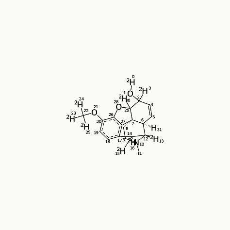 [2H]OC1([2H])C=C[C@@H]2[C@@]34CCN(C)[C@]2([2H])C([2H])([2H])c2ccc(OC([2H])([2H])[2H])c(c23)OC14[2H]